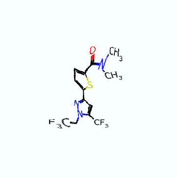 CN(C)C(=O)c1ccc(-c2cc(C(F)(F)F)n(CC(F)(F)F)n2)s1